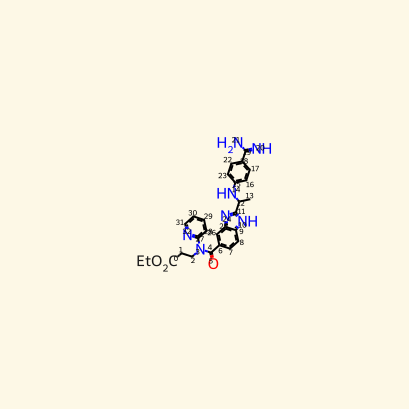 CCOC(=O)CCN(C(=O)c1ccc2[nH]c(C(C)Nc3ccc(C(=N)N)cc3)nc2c1)c1ccccn1